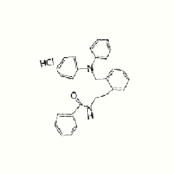 Cl.O=C(NCCc1ccccc1CN(c1ccccc1)c1ccccc1)c1ccccc1